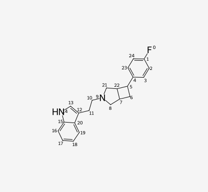 Fc1ccc(C2CC3CN(CCc4c[nH]c5ccccc45)CC32)cc1